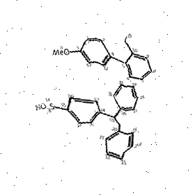 COc1ccc(-c2ccccc2I)cc1.O=S(=O)(O)c1ccc(C(c2ccccc2)c2ccccc2)cc1